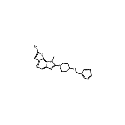 Cn1c(N2CCC(OCc3ccccc3)CC2)nc2cnc3cc(Br)sc3c21